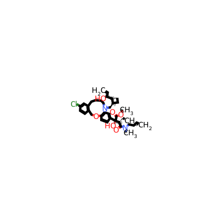 C=CCCN(C)C(=O)[C@@H](CC)[C@@](O)(C(=O)OC)c1ccc2c(c1)N(C[C@@H]1CC[C@H]1[C@@H](O)C=C)CCCCc1cc(Cl)ccc1CO2